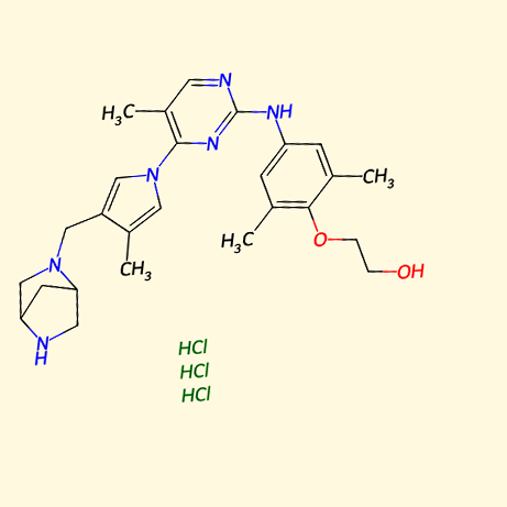 Cc1cn(-c2nc(Nc3cc(C)c(OCCO)c(C)c3)ncc2C)cc1CN1CC2CC1CN2.Cl.Cl.Cl